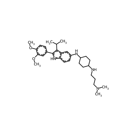 COc1ccc(-c2[nH]c3ccc(NC4CCC(NCCCN(C)C)CC4)cc3c2C(C)C)cc1OC